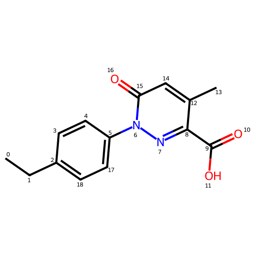 CCc1ccc(-n2nc(C(=O)O)c(C)cc2=O)cc1